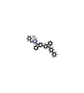 C\C=C/C(=C\C=N\c1ccccc1)n1c2ccccc2c2cc(-c3ccc4c(c3)c3ccccc3n4-c3ccc(-c4ccccc4)cc3)ccc21